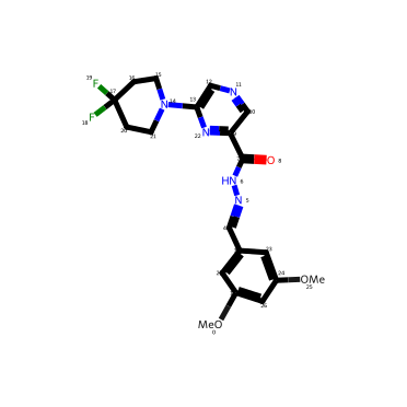 COc1cc(/C=N/NC(=O)c2cncc(N3CCC(F)(F)CC3)n2)cc(OC)c1